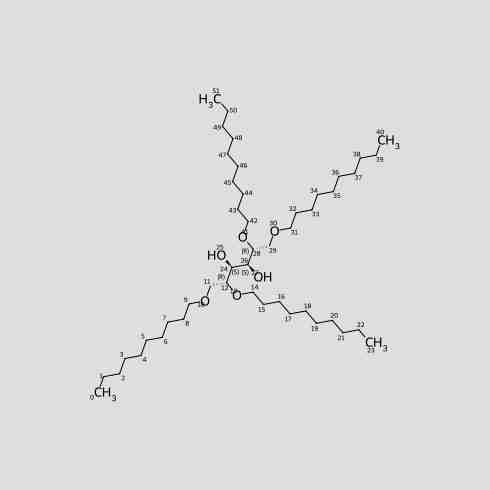 CCCCCCCCCCOC[C@@H](OCCCCCCCCCC)[C@@H](O)[C@H](O)[C@@H](COCCCCCCCCCC)OCCCCCCCCCC